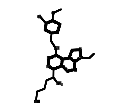 CCn1ncc2c3c(NCc4ccc(OC)c(Cl)c4)nnc(C(N)CCCO)c3cnc21